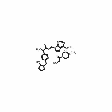 CC(C(=O)OCn1ccc2c(N(C)[C@H]3CN(C(=O)CC#N)CC[C@H]3C)ncnc21)c1ccc(CC2CCCC2O)cc1